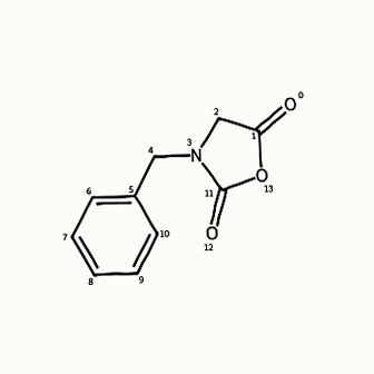 O=C1CN(Cc2ccccc2)C(=O)O1